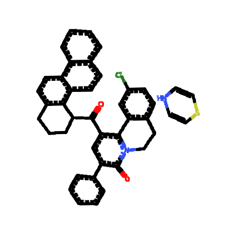 C1=CSC=CN1.O=C(c1cc(-c2ccccc2)c(=O)n2c1-c1cc(Cl)ccc1CC2)C1CCCc2ccc3c(ccc4ccccc43)c21